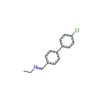 [CH2]CN=Cc1ccc(-c2ccc(Cl)cc2)cc1